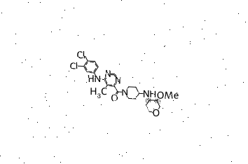 CO[C@@H]1COCC[C@@H]1NC1CCN(C(=O)c2ncnc(Nc3ccc(Cl)c(Cl)c3)c2C)CC1